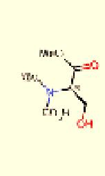 COC(=O)[C@@H](CO)N(C(=O)O)C(C)(C)C